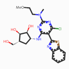 COCCN(C)c1nc(Cl)c(-c2nc3ccccc3s2)c(N[C@@H]2C[C@H](CO)[C@@H](O)[C@H]2O)n1